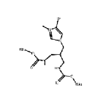 C[n+]1cn(CC(CNC(=O)OC(C)(C)C)CNC(=O)OC(C)(C)C)cc1Br